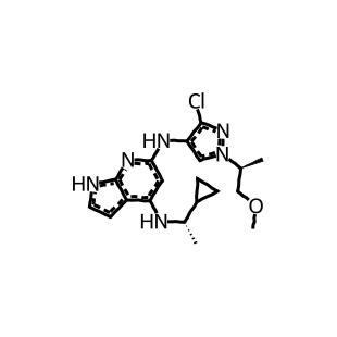 COC[C@H](C)n1cc(Nc2cc(N[C@@H](C)C3CC3)c3cc[nH]c3n2)c(Cl)n1